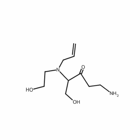 C=CCN(CCO)C(CO)C(=O)CCN